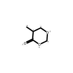 CC1COCOC1=O